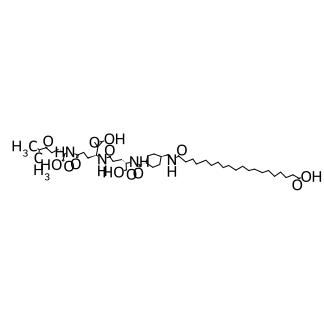 CC(C)C(=O)CC[C@H](NC(=O)CC[C@H](NC(=O)CC[C@H](NC(=O)[C@H]1CC[C@H](CNC(=O)CCCCCCCCCCCCCCCCCCC(=O)O)CC1)C(=O)O)C1OC1O)C(=O)O